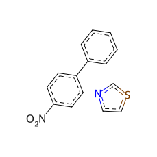 O=[N+]([O-])c1ccc(-c2ccccc2)cc1.c1cscn1